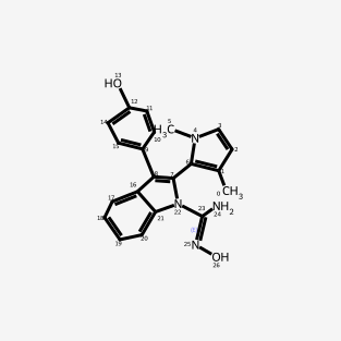 Cc1ccn(C)c1-c1c(-c2ccc(O)cc2)c2ccccc2n1/C(N)=N/O